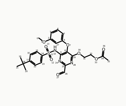 COc1cccc(Oc2c(NS(=O)(=O)c3ccc(C(C)(C)C)cc3)nc(C=O)nc2OCCOC(C)=O)c1